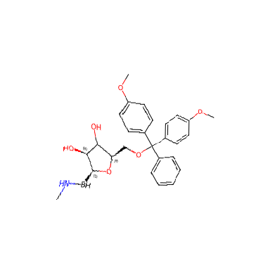 CNB[C@@H]1O[C@H](COC(c2ccccc2)(c2ccc(OC)cc2)c2ccc(OC)cc2)C(O)[C@@H]1O